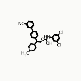 CN1CCC(C(COC(O)Nc2cc(Cl)cc(Cl)c2)c2ccc(-c3cccc(C#N)c3)cc2)CC1